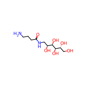 NCCCC(=O)NC[C@H](O)[C@@H](O)[C@H](O)[C@H](O)CO